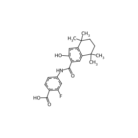 CC1(C)CCC(C)(C)c2cc(C(=O)Nc3ccc(C(=O)O)c(F)c3)c(O)cc21